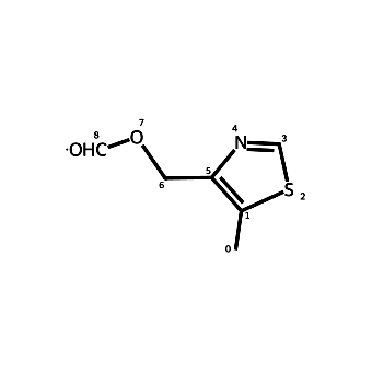 Cc1scnc1CO[C]=O